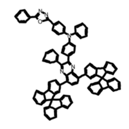 c1ccc(-c2nnc(-c3ccc(N(c4ccccc4)c4ccc(-c5nc6c(-c7ccc8c(c7)C7(c9ccccc9-c9ccccc97)c7ccccc7-8)ccc(-c7ccc8c(c7)C7(c9ccccc9-c9ccccc97)c7ccccc7-8)c6nc5-c5ccccc5)cc4)cc3)o2)cc1